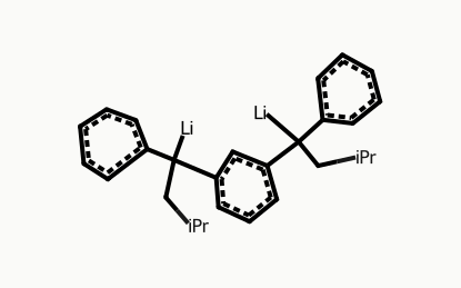 [Li][C](CC(C)C)(c1ccccc1)c1cccc([C]([Li])(CC(C)C)c2ccccc2)c1